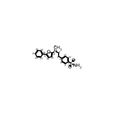 CN(CCc1ccc(S(N)(=O)=O)cc1)c1ccc(-c2ccccc2)o1